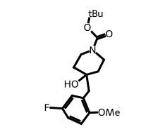 COc1ccc(F)cc1CC1(O)CCN(C(=O)OC(C)(C)C)CC1